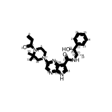 C=CC(=O)N1CCN(c2cnc3[nH]cc(C(=O)N[C@@H](C)[C@H](O)c4ccccc4)c3n2)CC1(C)C